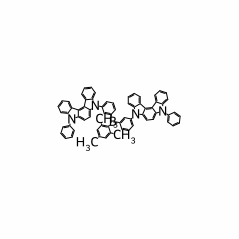 Cc1cc(C)c(B(c2cccc(-n3c4ccccc4c4c5c6ccccc6n(-c6ccccc6)c5ccc43)c2)c2cccc(-n3c4ccccc4c4c5c6ccccc6n(-c6ccccc6)c5ccc43)c2)c(C)c1